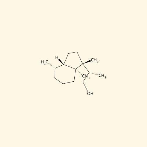 C[C@H](CO)[C@@]1(C)CC[C@H]2[C@@H](C)CCC[C@@]21C